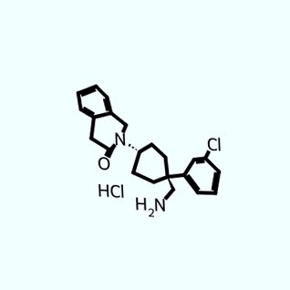 Cl.NC[C@]1(c2cccc(Cl)c2)CC[C@@H](N2Cc3ccccc3CC2=O)CC1